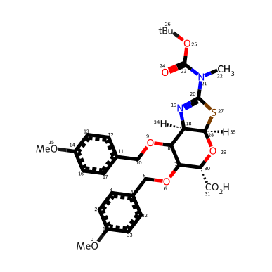 COc1ccc(COC2C(OCc3ccc(OC)cc3)[C@H]3N=C(N(C)C(=O)OC(C)(C)C)S[C@H]3O[C@@H]2C(=O)O)cc1